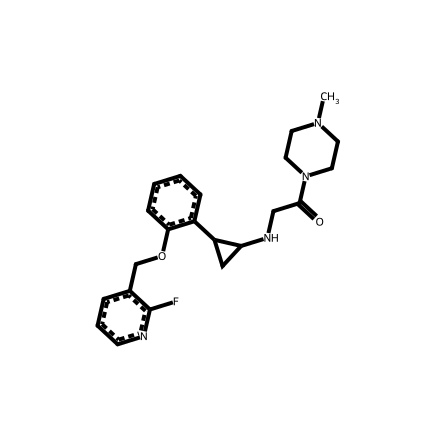 CN1CCN(C(=O)CNC2CC2c2ccccc2OCc2cccnc2F)CC1